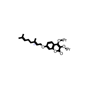 CC(C)=CCC/C(C)=C/COc1ccc2c(OC(C)C)c(OC(C)C)c(=O)oc2c1